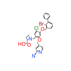 N#Cc1cc(COc2cc(OCc3cccc(-c4ccccc4)c3Br)c(Cl)cc2CN2CCC2C(=O)O)ccn1